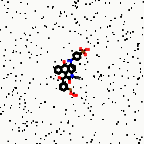 Cn1c(=O)c(C(=O)c2cccc(SOO)c2)c2c3c(c(Nc4ccc(S(=O)(=O)O)cc4)ccc31)C(=O)c1ccccc1-2